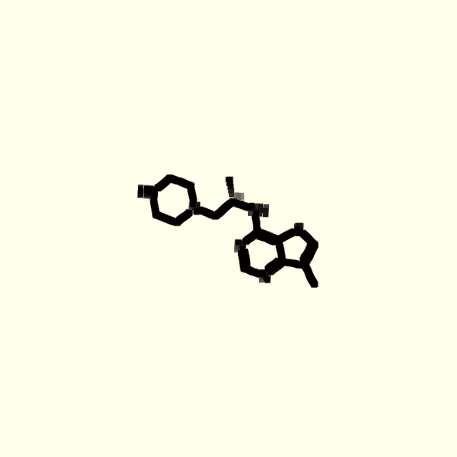 Cc1csc2c(N[C@@H](C)CN3CCNCC3)ncnc12